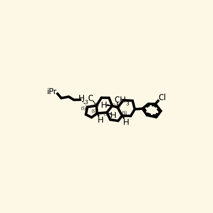 CC(C)CCCC[C@H]1CC[C@H]2[C@@H]3CC[C@H]4CC(c5cccc(Cl)c5)CC[C@]4(C)[C@H]3CC[C@]12C